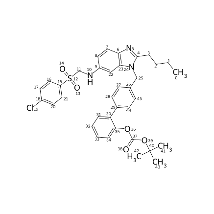 CCCCc1nc2ccc(NCS(=O)(=O)c3ccc(Cl)cc3)cc2n1Cc1ccc(-c2ccccc2OC(=O)OC(C)(C)C)cc1